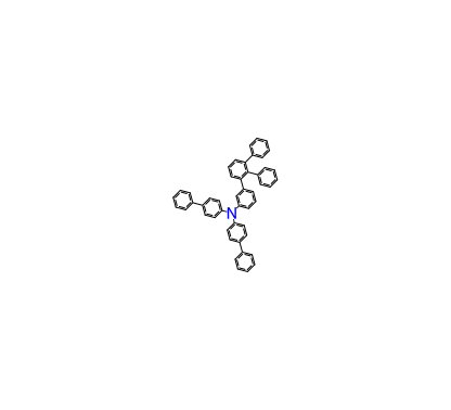 c1ccc(-c2ccc(N(c3ccc(-c4ccccc4)cc3)c3cccc(-c4cccc(-c5ccccc5)c4-c4ccccc4)c3)cc2)cc1